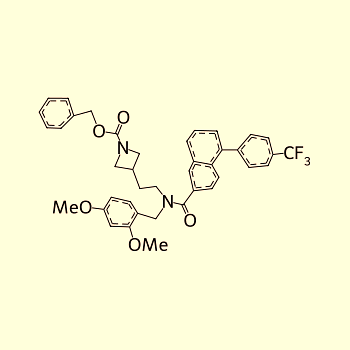 COc1ccc(CN(CCC2CN(C(=O)OCc3ccccc3)C2)C(=O)c2ccc3c(-c4ccc(C(F)(F)F)cc4)cccc3c2)c(OC)c1